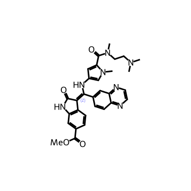 COC(=O)c1ccc2c(c1)NC(=O)/C2=C(\Nc1cc(C(=O)N(C)CCN(C)C)n(C)c1)c1ccc2nccnc2c1